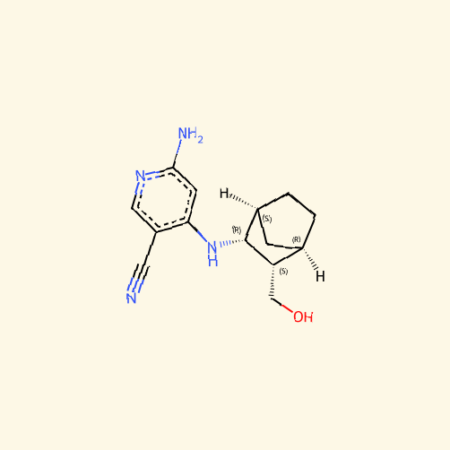 N#Cc1cnc(N)cc1N[C@@H]1[C@H]2CC[C@H](C2)[C@@H]1CO